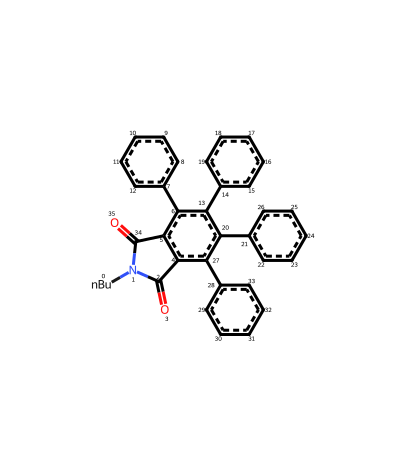 CCCCN1C(=O)c2c(c(-c3ccccc3)c(-c3ccccc3)c(-c3ccccc3)c2-c2ccccc2)C1=O